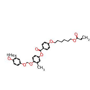 C=CC(=O)OCCCCCCOc1ccc(C(=O)Oc2ccc(OCOc3ccc(OCCCCCC)cc3)c(C)c2)cc1